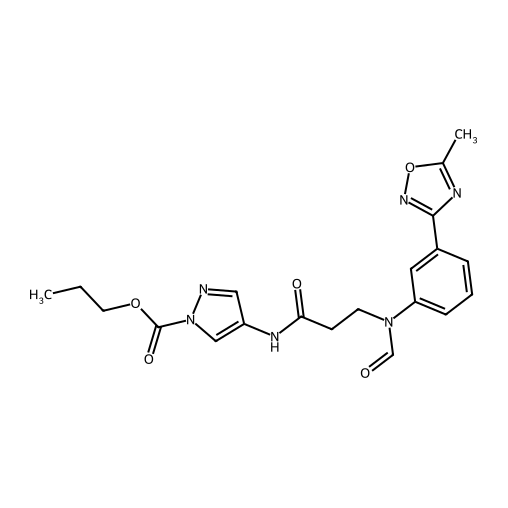 CCCOC(=O)n1cc(NC(=O)CCN(C=O)c2cccc(-c3noc(C)n3)c2)cn1